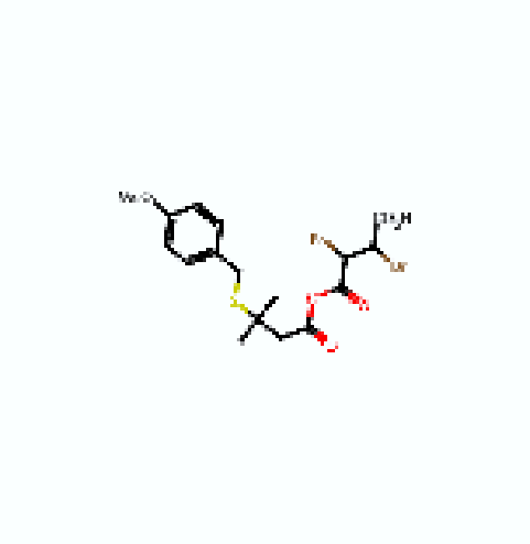 COc1ccc(CSC(C)(C)CC(=O)OC(=O)C(Br)C(Br)C(=O)O)cc1